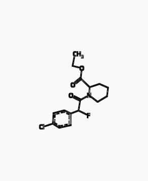 CCOC(=O)C1CCCCN1C(=O)C(F)c1ccc(Cl)cc1